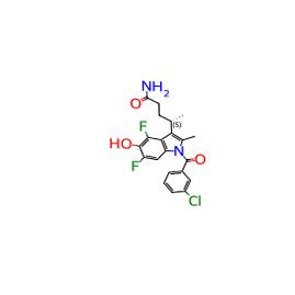 Cc1c([C@@H](C)CCC(N)=O)c2c(F)c(O)c(F)cc2n1C(=O)c1cccc(Cl)c1